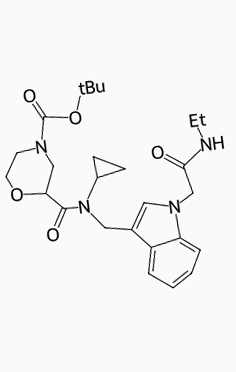 CCNC(=O)Cn1cc(CN(C(=O)C2CN(C(=O)OC(C)(C)C)CCO2)C2CC2)c2ccccc21